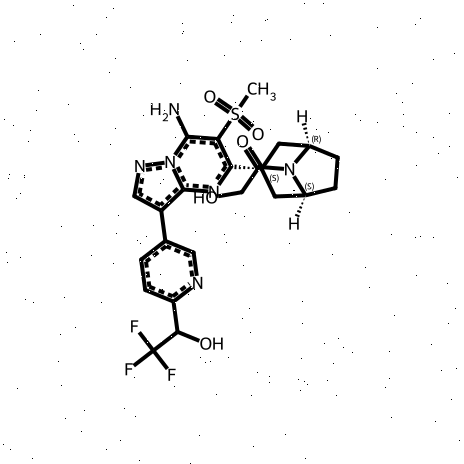 CS(=O)(=O)c1c([C@@H]2C[C@H]3CC[C@@H](C2)N3C(=O)CO)nc2c(-c3ccc(C(O)C(F)(F)F)nc3)cnn2c1N